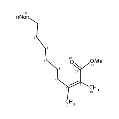 CCCCCCCCCCCCCCCC(C)=C(C)C(=O)OC